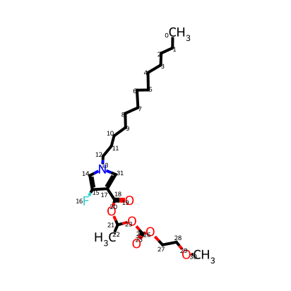 CCCCCCCCCCCCCn1cc(F)c(C(=O)OC(C)OC(=O)OCCOC)c1